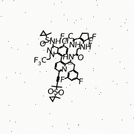 CC1([S+]([O-])Nc2nn(CC(F)(F)F)c3c(-c4ccc(C#CC(C)(C)S(=O)(=O)C5(C)CC5)nc4[C@H](Cc4cc(F)cc(F)c4)NC(=O)CNC4=C(C(=N)C(F)(F)F)CCC4(F)F)ccc(Cl)c23)CC1